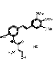 COc1ccc(C=Cc2cc(OC)c(OC)c(OC)c2)cc1NC(=O)[C@@H](N)CO.Cl